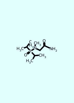 CC(C)P(=O)(C(C)C)N(C)CC(N)=O